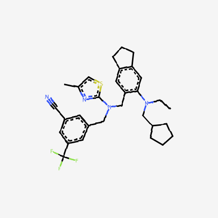 CCN(CC1CCCC1)c1cc2c(cc1CN(Cc1cc(C#N)cc(C(F)(F)F)c1)c1nc(C)cs1)CCC2